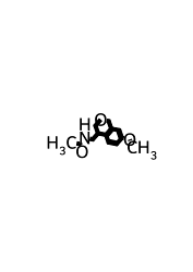 COc1ccc2c(c1)COCC2CNC(C)=O